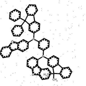 CC1(C)c2ccccc2-c2ccc(N(c3cccc(N(c4ccc5c(c4)C(c4ccccc4)(c4ccccc4)c4ccccc4-5)c4ccc5c(c4)oc4ccccc45)c3)c3cccc4oc5ccccc5c34)cc21